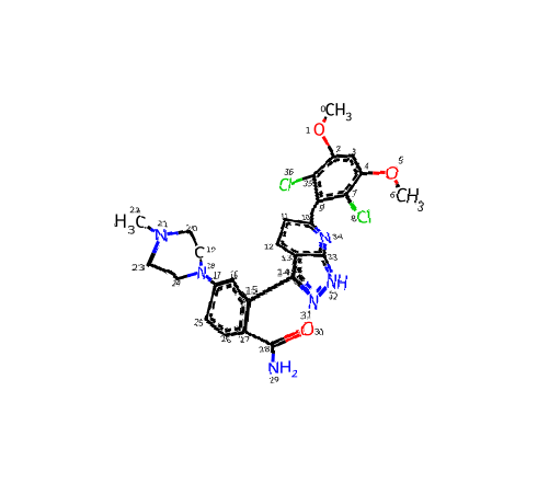 COc1cc(OC)c(Cl)c(-c2ccc3c(-c4cc(N5CCN(C)CC5)ccc4C(N)=O)n[nH]c3n2)c1Cl